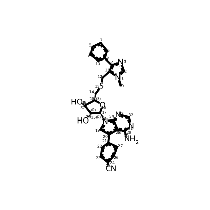 Cn1cnc(-c2ccccc2)c1CSC[C@H]1O[C@@H](n2cc(-c3ccc(C#N)cc3)c3c(N)ncnc32)[C@H](O)[C@@H]1O